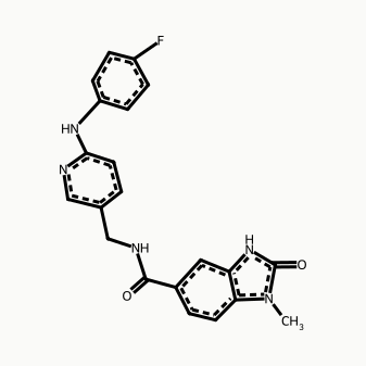 Cn1c(=O)[nH]c2cc(C(=O)NCc3ccc(Nc4ccc(F)cc4)nc3)ccc21